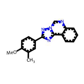 COc1ccc(-c2nc3c4ccccc4ncn3n2)cc1C